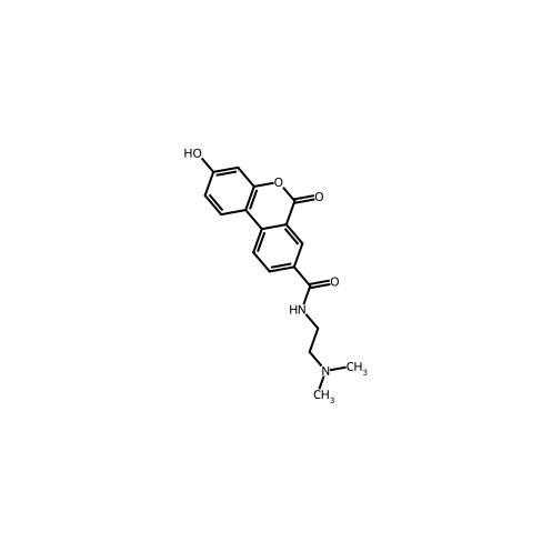 CN(C)CCNC(=O)c1ccc2c(c1)c(=O)oc1cc(O)ccc12